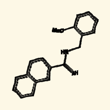 COc1ccccc1CNC(=N)c1ccc2ccccc2c1